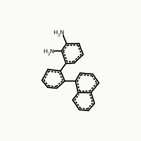 Nc1cccc(-c2ccccc2-c2cccc3ccccc23)c1N